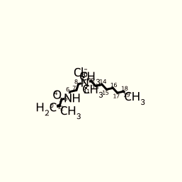 C=C(C)C(=O)NCCC[N+](C)(C)CCCCCCCC.[Cl-]